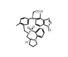 CCn1nnc2c(C)c([C@H](CC(=O)O)c3ccc(C)c(CN4C[C@@H]5CCCN5c5ccccc5S4(=O)=O)c3)ccc21